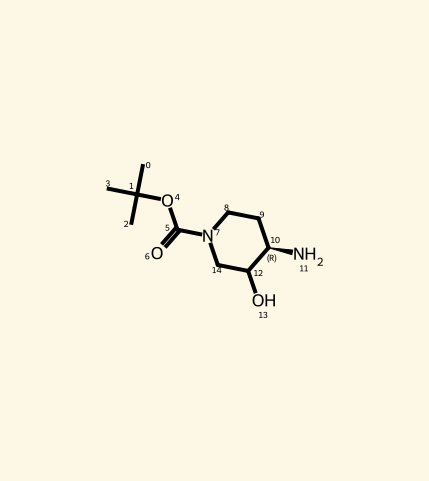 CC(C)(C)OC(=O)N1CC[C@@H](N)C(O)C1